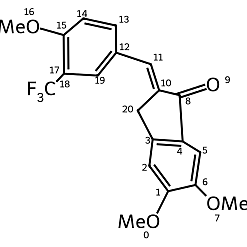 COc1cc2c(cc1OC)C(=O)/C(=C/c1ccc(OC)c(C(F)(F)F)c1)C2